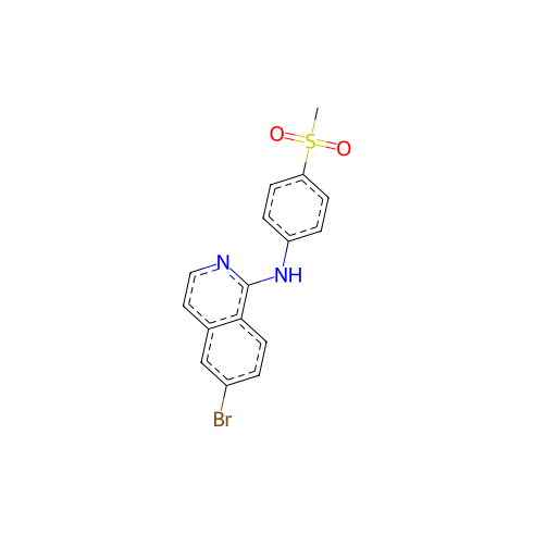 CS(=O)(=O)c1ccc(Nc2nccc3cc(Br)ccc23)cc1